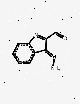 NN=C1C(C=O)=Nc2ccccc21